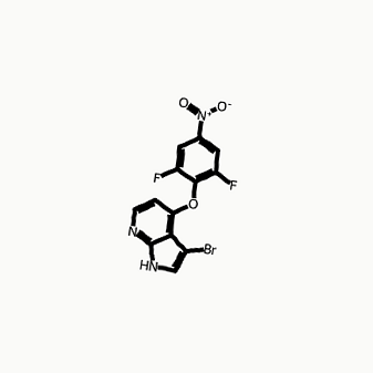 O=[N+]([O-])c1cc(F)c(Oc2ccnc3[nH]cc(Br)c23)c(F)c1